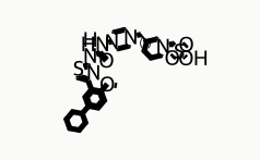 COc1ccc(C2CCCCC2)cc1-c1csc(NC(=O)NN2CCN(C[C@@H]3CCCN(CS(=O)(=O)O)C3)CC2)n1